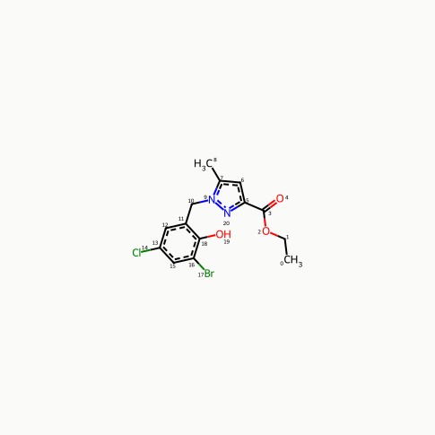 CCOC(=O)c1cc(C)n(Cc2cc(Cl)cc(Br)c2O)n1